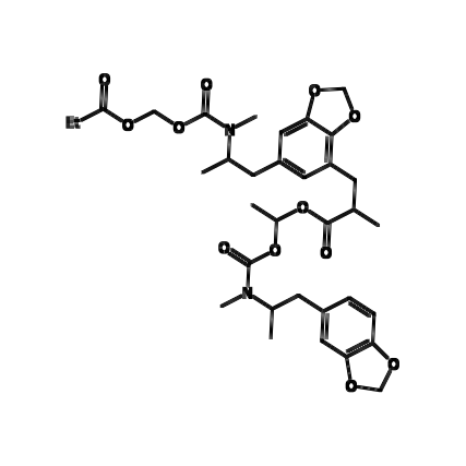 CCC(=O)OCOC(=O)N(C)C(C)Cc1cc(CC(C)C(=O)OC(C)OC(=O)N(C)C(C)Cc2ccc3c(c2)OCO3)c2c(c1)OCO2